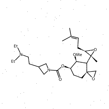 CCN(CC)CCC1CN(C(=O)O[C@@H]2CC[C@]3(CO3)C([C@@]3(C)O[C@@H]3CC=C(C)C)[C@@H]2OC)C1